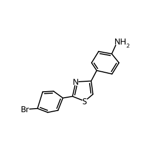 Nc1ccc(-c2csc(-c3ccc(Br)cc3)n2)cc1